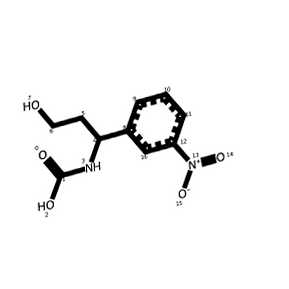 O=C(O)NC(CCO)c1cccc([N+](=O)[O-])c1